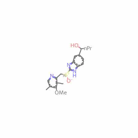 CCCC(O)c1ccc2[nH]c([S@@+]([O-])Cc3ncc(C)c(OC)c3C)nc2c1